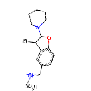 CCC1c2cc(CNS(=O)(=O)O)ccc2OC1N1CCCCC1